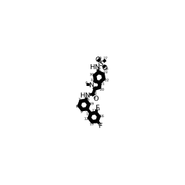 Cn1c(C(=O)Nc2cccc(-c3ccc(F)cc3F)c2)cc2ccc(NS(C)(=O)=O)cc21